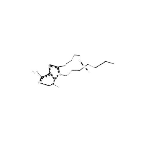 CCCCc1nc2c(N)ncc(C)c2n1CCCS(=O)(=O)CCCC